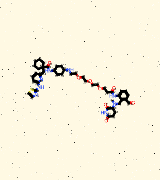 CN(Cc1c(C=O)cccc1NC(=O)CCOCCOCCOCCNC1CCC(NC(=O)C2(Cc3cccc(Nc4nccs4)n3)CCCCC2)CC1)C1CCC(=O)NC1=O